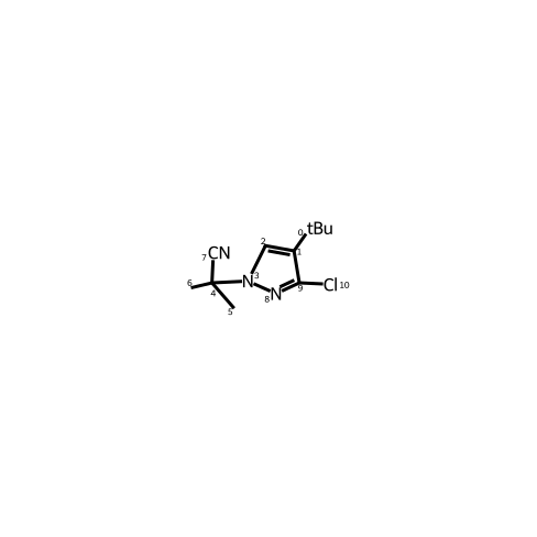 CC(C)(C)c1cn(C(C)(C)C#N)nc1Cl